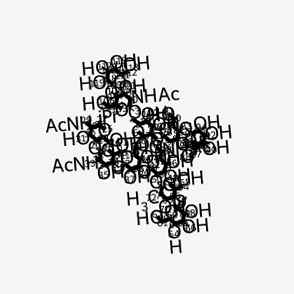 CC(=O)NC1[C@H](OCC2O[C@@H](OCC3O[C@@H](O[C@@H]4C(CO)O[C@@H](O[C@@H]5C(CO)O[C@@H](C(C)C)C(NC(C)=O)[C@H]5O)C(NC(C)=O)[C@H]4O)C(O)[C@@H](O[C@H]4OC(CO)[C@@H](O)[C@H](O)C4O[C@@H]4OC(CO)[C@@H](O[C@@H]5OC(CO)[C@H](O)[C@H](O)C5O)[C@H](O)C4C)[C@@H]3O)C(O[C@@H]3OC(CO)[C@@H](O[C@@H]4OC(CO)[C@H](O)[C@H](O)C4O)[C@H](O)C3NC(C)=O)[C@@H](O)[C@@H]2O)OC(CO)[C@@H](O[C@@H]2OC(CO)[C@H](O)[C@H](O)C2O)[C@@H]1O